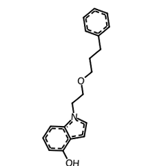 Oc1cccc2c1ccn2CCOCCCc1ccccc1